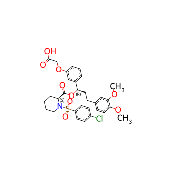 COc1ccc(CC[C@@H](OC(=O)[C@@H]2CCCCN2S(=O)(=O)c2ccc(Cl)cc2)c2cccc(OCC(=O)O)c2)cc1OC